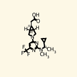 C[C@@H](C1CC1)N(C)c1nc(N2C[C@@H]3[C@@H](CC(=O)O)[C@@H]3C2)cc(C(F)(F)F)n1